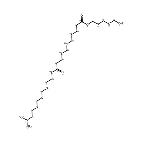 CCCC[S+]([O-])CCSCSCSCCSC(=O)CCSCSCSCCC(=O)OCSCSCO